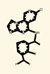 CC(Nc1nc2nccn2c2cnc(Cl)cc12)c1cccc(C(F)F)c1F